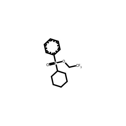 O=P(OCC(F)(F)F)(c1ccccc1)C1CCCCC1